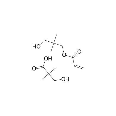 C=CC(=O)OCC(C)(C)CO.CC(C)(CO)C(=O)O